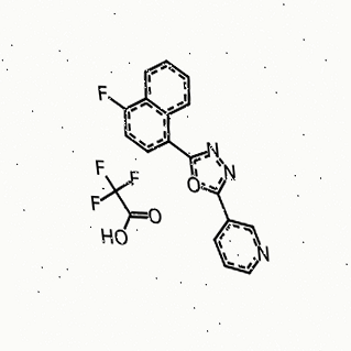 Fc1ccc(-c2nnc(-c3cccnc3)o2)c2ccccc12.O=C(O)C(F)(F)F